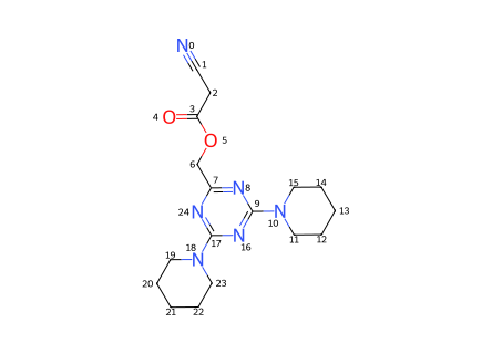 N#CCC(=O)OCc1nc(N2CCCCC2)nc(N2CCCCC2)n1